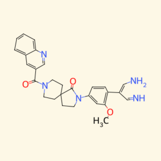 COc1cc(N2CCC3(CCN(C(=O)c4cnc5ccccc5c4)CC3)C2=O)ccc1/C(C=N)=C/N